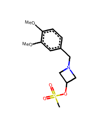 COc1ccc(CN2CC(OS(C)(=O)=O)C2)cc1OC